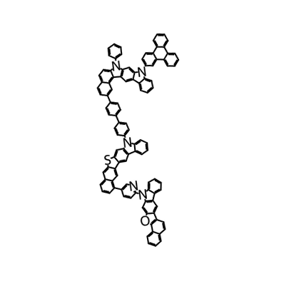 c1ccc(-n2c3cc4c(cc3c3c5cc(-c6ccc(-c7ccc(-n8c9ccccc9c9cc%10c(cc98)sc8cc9cccc(-c%11ccc(-n%12c%13ccccc%13c%13cc%14c(cc%13%12)oc%12c%13ccccc%13ccc%14%12)nc%11)c9cc8%10)cc7)cc6)ccc5ccc32)c2ccccc2n4-c2ccc3c4ccccc4c4ccccc4c3c2)cc1